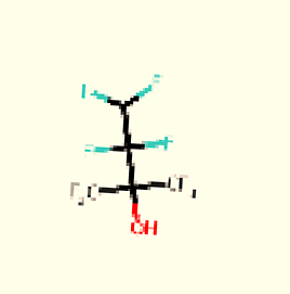 OC(C(F)(F)F)(C(F)(F)F)C(F)(F)C(F)F